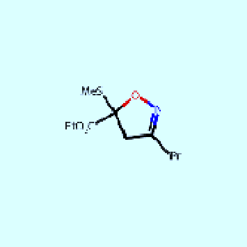 CCOC(=O)C1(SC)CC(C(C)C)=NO1